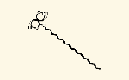 CCCCCCCCCCCCCCCCCCOC1OPOCC12COPOC2